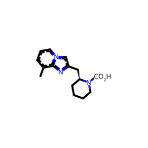 Cc1cccn2cc(C[C@@H]3CCCCN3C(=O)O)nc12